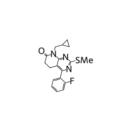 CSc1nc(-c2ccccc2F)c2c(n1)N(CC1CC1)C(=O)CC2